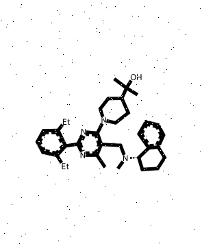 CCc1cccc(CC)c1-c1nc(C)c(CN(C)[C@H]2CCCc3ccccc32)c(N2CCC(C(C)(C)O)CC2)n1